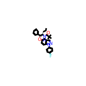 CCC[C@H](NC(=O)C(C)(C)C)[C@H](Oc1ccc2c(cnn2-c2ccc(F)cc2)c1)c1ccccc1